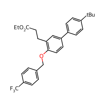 CCOC(=O)CCc1cc(-c2ccc(C(C)(C)C)cc2)ccc1OCc1ccc(C(F)(F)F)cc1